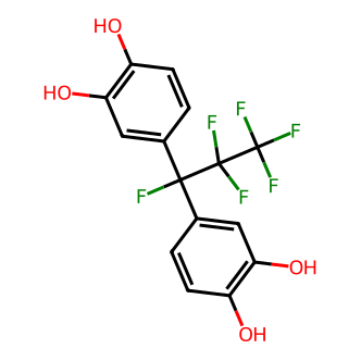 Oc1ccc(C(F)(c2ccc(O)c(O)c2)C(F)(F)C(F)(F)F)cc1O